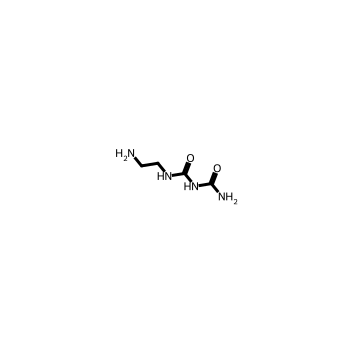 NCCNC(=O)NC(N)=O